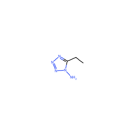 CCc1nnnn1N